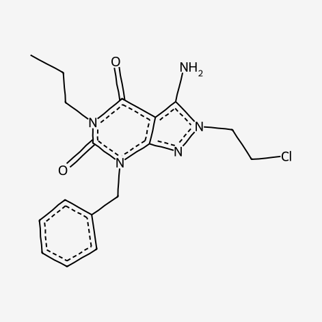 CCCn1c(=O)c2c(N)n(CCCl)nc2n(Cc2ccccc2)c1=O